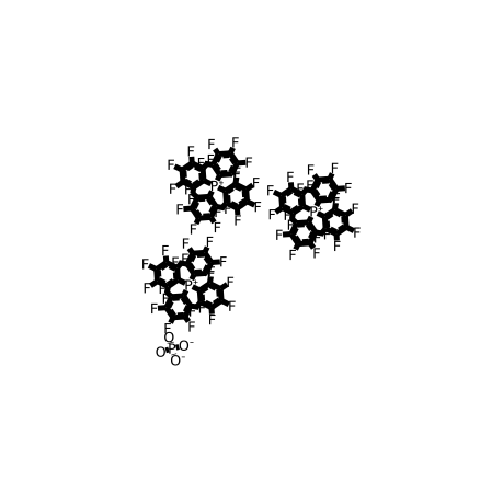 Fc1c(F)c(F)c([P+](c2c(F)c(F)c(F)c(F)c2F)(c2c(F)c(F)c(F)c(F)c2F)c2c(F)c(F)c(F)c(F)c2F)c(F)c1F.Fc1c(F)c(F)c([P+](c2c(F)c(F)c(F)c(F)c2F)(c2c(F)c(F)c(F)c(F)c2F)c2c(F)c(F)c(F)c(F)c2F)c(F)c1F.Fc1c(F)c(F)c([P+](c2c(F)c(F)c(F)c(F)c2F)(c2c(F)c(F)c(F)c(F)c2F)c2c(F)c(F)c(F)c(F)c2F)c(F)c1F.O=P([O-])([O-])[O-]